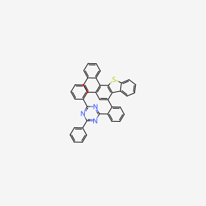 c1ccc(-c2nc(-c3ccccc3)nc(-c3ccccc3-c3cc4ccc5ccccc5c4c4sc5ccccc5c34)n2)cc1